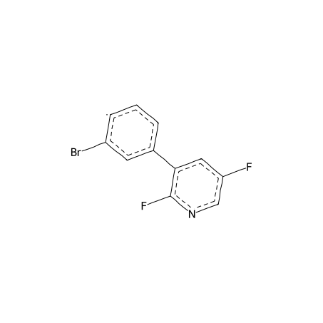 Fc1cnc(F)c(-c2cc[c]c(Br)c2)c1